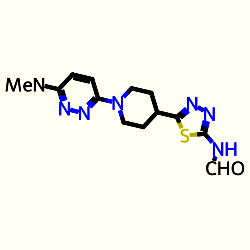 CNc1ccc(N2CCC(c3nnc(NC=O)s3)CC2)nn1